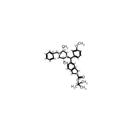 COc1cccc(C(c2ccc3c(c2)CN(C(=O)OC(C)(C)C)C3)N2C[C@@H](C)N(Cc3ccccc3)C[C@H]2C)c1